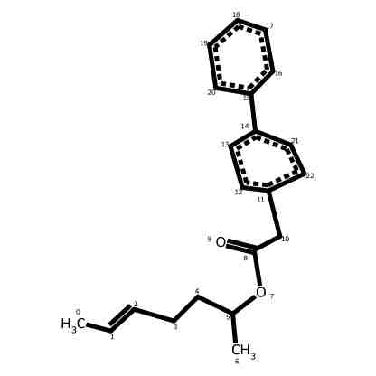 CC=CCCC(C)OC(=O)Cc1ccc(-c2ccccc2)cc1